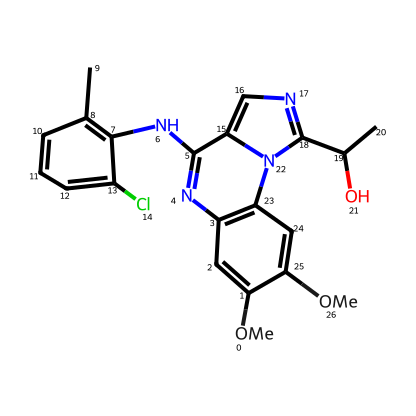 COc1cc2nc(Nc3c(C)cccc3Cl)c3cnc(C(C)O)n3c2cc1OC